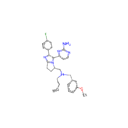 CCOc1cccc(CN(CCOC)CC2CCc3nc(-c4ccc(F)cc4)c(-c4ccnc(N)n4)n32)c1